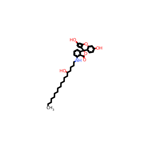 CCCCCCCCCCCCCC(O)CCCCNc1cccc2c1C(=O)OC21c2ccc(O)cc2Oc2cc(O)ccc21